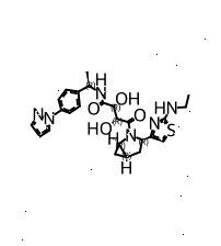 CCNc1nc([C@H]2C[C@H]3C[C@H]3N2C(=O)[C@H](O)[C@@H](O)C(=O)N[C@H](C)c2ccc(-n3cccn3)cc2)cs1